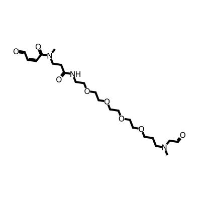 CN(CC=O)CCCOCCOCCOCCOCCNC(=O)CCN(C)C(=O)/C=C\C=O